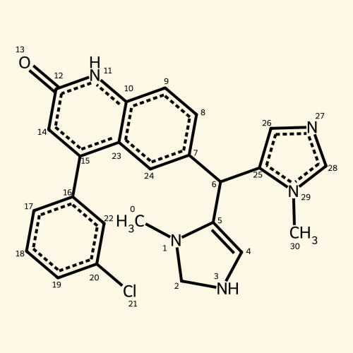 CN1CNC=C1C(c1ccc2[nH]c(=O)cc(-c3cccc(Cl)c3)c2c1)c1cncn1C